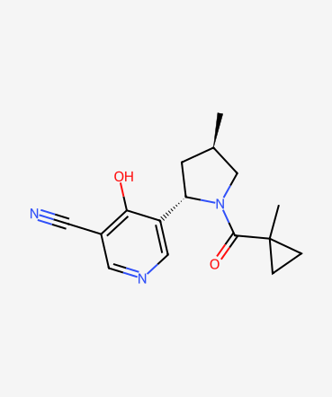 C[C@@H]1C[C@@H](c2cncc(C#N)c2O)N(C(=O)C2(C)CC2)C1